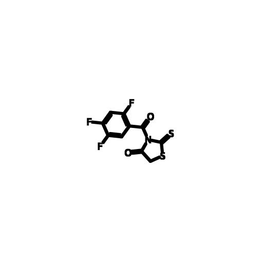 O=C1CSC(=S)N1C(=O)c1cc(F)c(F)cc1F